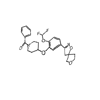 O=C(c1ccccc1)N1CCC(Oc2cc(C3=NOC4(CCOC4)C3)ccc2OC(F)F)CC1